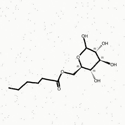 CCCCCC(=O)OC[C@H]1OC(O)[C@H](O)[C@@H](O)[C@@H]1O